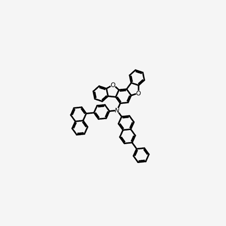 c1ccc(-c2ccc3cc(N(c4ccc(-c5cccc6ccccc56)cc4)c4cc5oc6ccccc6c5c5oc6ccccc6c45)ccc3c2)cc1